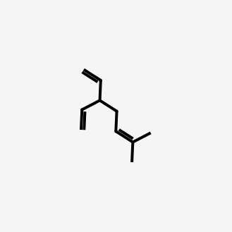 C=CC(C=C)CC=C(C)C